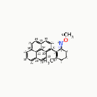 CO/N=C1\CCCC(C)=C1c1ccc2ccc3cccc4ccc1c2c34